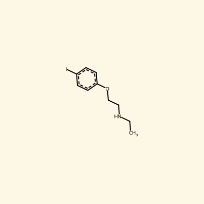 CCNCCOc1ccc(I)cc1